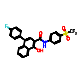 O=C(Nc1ccc(S(=O)(=O)C(F)(F)F)cc1)c1cc(-c2ccc(F)cc2)c2ccccc2c1O